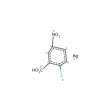 O=C(O)c1cc([N+](=O)[O-])ccc1F.[Ag]